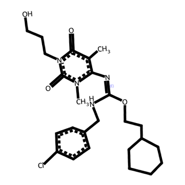 Cc1c(/N=C(\NCc2ccc(Cl)cc2)OCCC2CCCCC2)n(C)c(=O)n(CCCO)c1=O